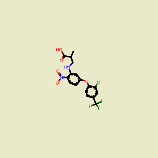 CC(CNc1cc(Oc2ccc(C(F)(F)F)cc2Cl)ccc1[N+](=O)[O-])C(=O)O